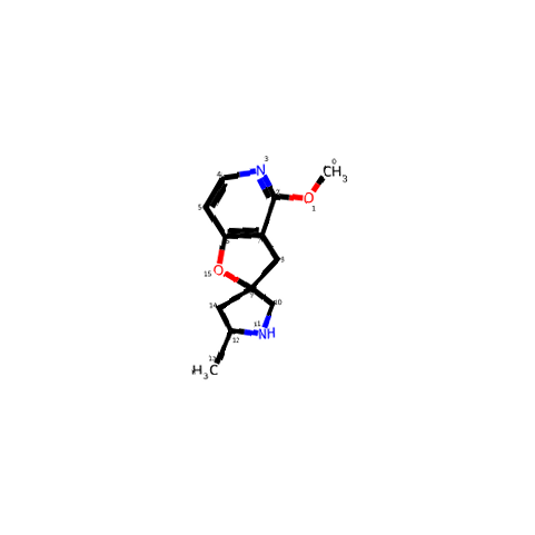 COc1nccc2c1CC1(CNC(C)C1)O2